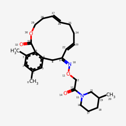 Cc1cc(C)c2c(c1)CC(=N\OCC(=O)N1CCCC(C)C1)/C=C/CC/C=C/CCOC2=O